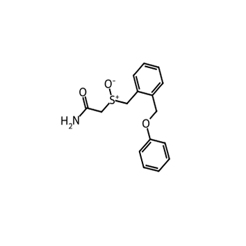 NC(=O)C[S+]([O-])Cc1ccccc1COc1ccccc1